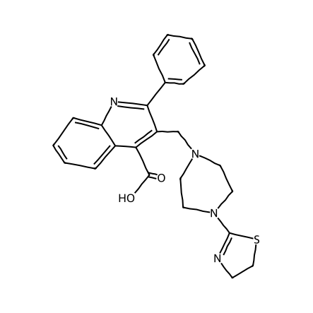 O=C(O)c1c(CN2CCN(C3=NCCS3)CC2)c(-c2ccccc2)nc2ccccc12